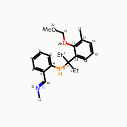 CCC(CC)(Pc1ccccc1/C=N/C)c1cccc(C)c1OCOC